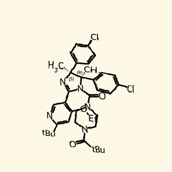 CCOc1cc(C(C)(C)C)ncc1C1=N[C@@](C)(c2ccc(Cl)cc2)[C@@](C)(c2ccc(Cl)cc2)N1C(=O)N1CCN(C(=O)C(C)(C)C)CC1